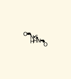 O=CNSNC=O